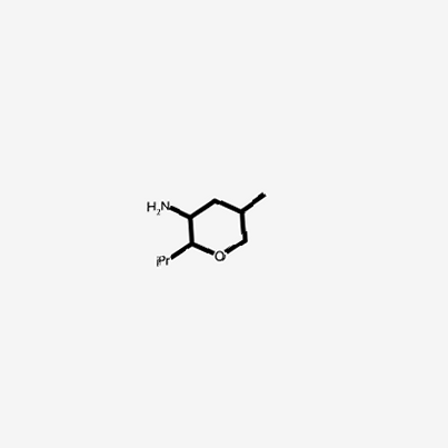 CC1COC(C(C)C)C(N)C1